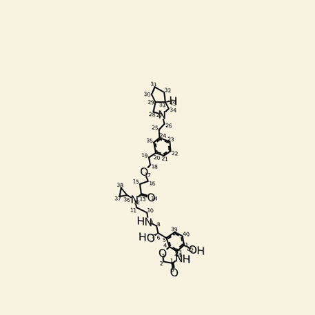 O=C1COc2c([C@@H](O)CNCCN(C(=O)CCOCCc3cccc(CCN4CC5CCC[C@@H]5C4)c3)C3CC3)ccc(O)c2N1